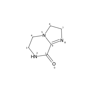 O=C1NCCN2CCN=C12